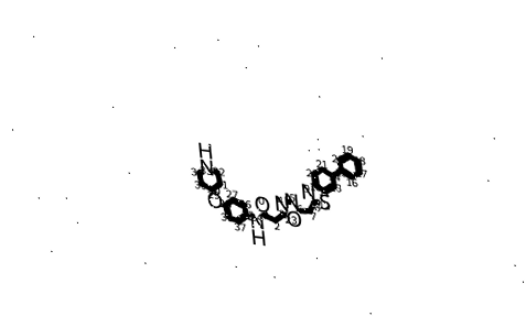 O=C(Cc1nnc(Cc2nc3c(s2)=CC(c2ccccc2)CC=3)o1)Nc1ccc(OC2CCNCC2)cc1